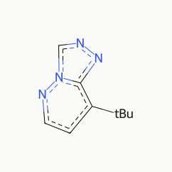 CC(C)(C)c1ccnn2cnnc12